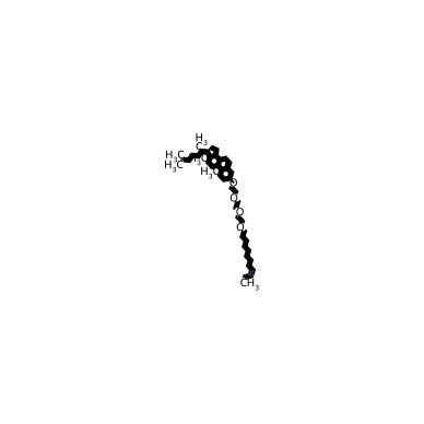 CC/C=C\CCCCCCCCOCCOCCOCCO[C@H]1CC[C@@]2(C)C(=CCC3C2CC[C@@]2(C)C3CC[C@@H]2[C@H](C)CCCC(C)C)C1